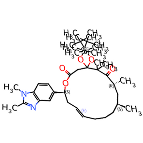 Cc1nc2cc([C@@H]3C/C=C/CCC[C@H](C)C[C@@H](C)C(=O)C(C)(C)C(O[Si](C)(C)C(C)(C)C)(O[Si](C)(C)C(C)(C)C)CC(=O)O3)ccc2n1C